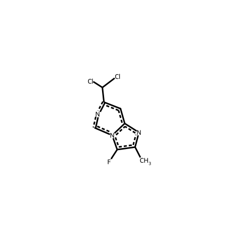 Cc1nc2cc(C(Cl)Cl)ncn2c1F